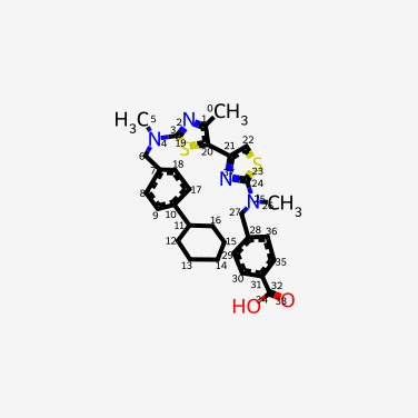 Cc1nc(N(C)Cc2ccc(C3CCCCC3)cc2)sc1-c1csc(N(C)Cc2ccc(C(=O)O)cc2)n1